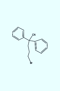 N#CC(CCCBr)(c1ccccc1)c1ccccc1